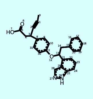 CC#CC(CC(=O)O)c1ccc(OC(Cc2ccccc2)c2cccc3[nH]ncc23)cc1